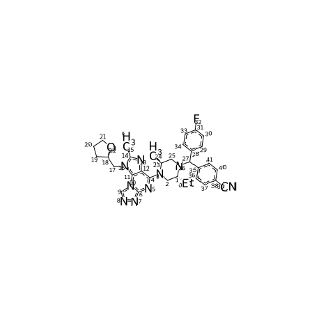 CC[C@@H]1CN(c2nc3nncn3c3c2nc(C)n3CC2CCCO2)[C@@H](C)CN1C(c1ccc(F)cc1)c1ccc(C#N)cc1